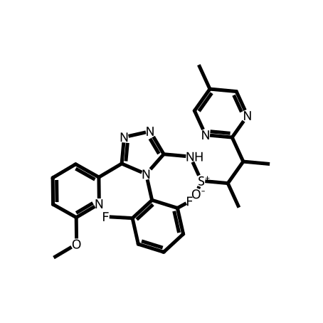 COc1cccc(-c2nnc(N[S+]([O-])C(C)C(C)c3ncc(C)cn3)n2-c2c(F)cccc2F)n1